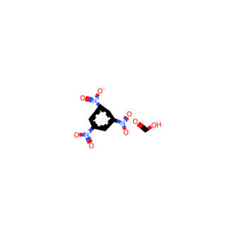 O=CO.O=[N+]([O-])c1cc([N+](=O)[O-])cc([N+](=O)[O-])c1